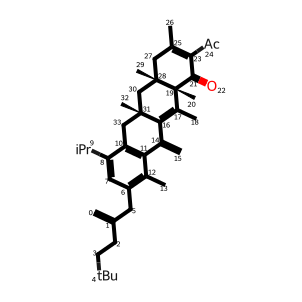 C=C(CCC(C)(C)C)Cc1cc(C(C)C)c2c(c1C)C(=C)C1=C(C)[C@@]3(C)C(=O)C(C(C)=O)=C(C)C[C@@]3(C)C[C@@]1(C)C2